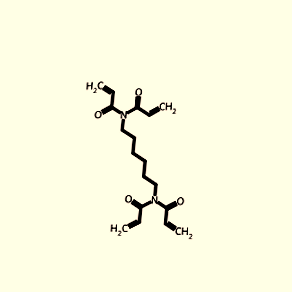 C=CC(=O)N(CCCCCCN(C(=O)C=C)C(=O)C=C)C(=O)C=C